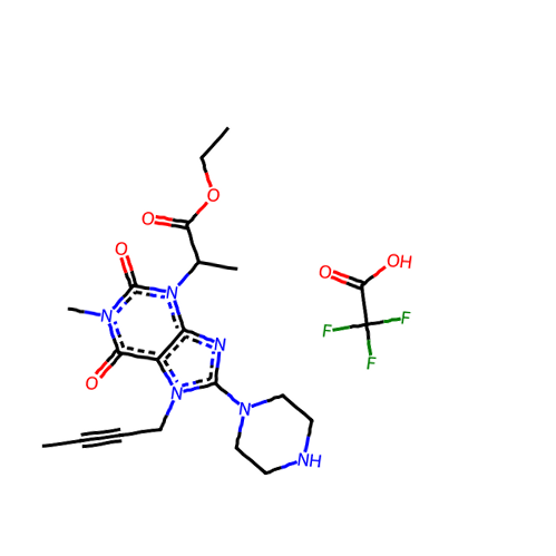 CC#CCn1c(N2CCNCC2)nc2c1c(=O)n(C)c(=O)n2C(C)C(=O)OCC.O=C(O)C(F)(F)F